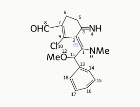 CN/C(=C1\C(=N)CCC(C=O)=C1Cl)C(OC)c1ccccc1